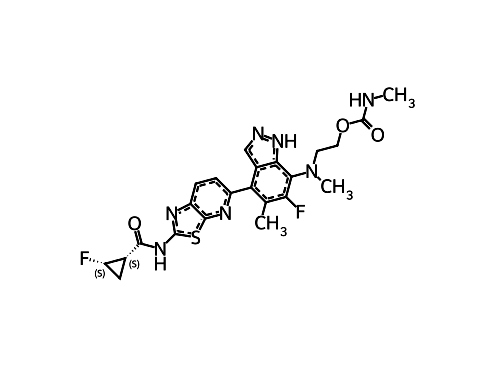 CNC(=O)OCCN(C)c1c(F)c(C)c(-c2ccc3nc(NC(=O)[C@@H]4C[C@@H]4F)sc3n2)c2cn[nH]c12